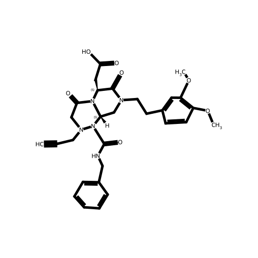 C#CCN1CC(=O)N2[C@@H](CC(=O)O)C(=O)N(CCc3ccc(OC)c(OC)c3)C[C@@H]2N1C(=O)NCc1ccccc1